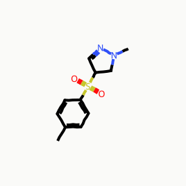 Cc1ccc(S(=O)(=O)C2C=NN(C)C2)cc1